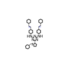 C(=C\c1ccc(Nc2nc(Nc3ccc(/C=C/c4ccccc4)cc3)nc(-c3cccn3Cc3ccccc3)n2)cc1)/c1ccccc1